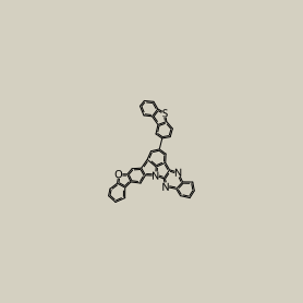 c1ccc2nc3c(nc2c1)c1cc(-c2ccc4sc5ccccc5c4c2)cc2c4cc5oc6ccccc6c5cc4n3c21